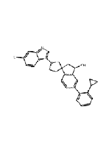 OC1CC2(CCN(c3cnc4cc(Cl)ccn34)C2)c2ccc(-c3ccccc3C3CC3)cc21